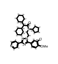 COc1ccc(-c2nc(-c3ccncc3)nn2CCN(C(=O)C(C2CCCCC2)C2CCCCC2)C2CCCC2)cc1Cl